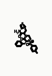 Cc1ccc(S(=O)(=O)N2CCN(C(CN3C=CSC3)C(N)=O)C(=O)[C@H]2Cc2ccccc2)cc1